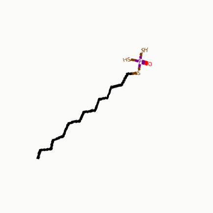 CCCCCCCCCCCCCCSP(=O)(S)S